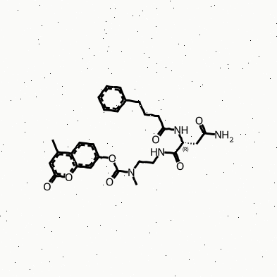 Cc1cc(=O)oc2cc(OC(=O)N(C)CCNC(=O)[C@@H](CC(N)=O)NC(=O)CCCc3ccccc3)ccc12